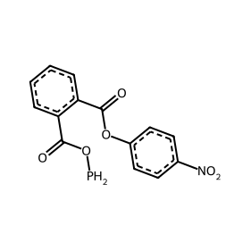 O=C(OP)c1ccccc1C(=O)Oc1ccc([N+](=O)[O-])cc1